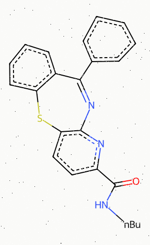 CCCCNC(=O)c1ccc2c(n1)N=C(c1ccccc1)c1ccccc1S2